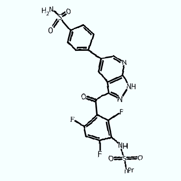 CCCS(=O)(=O)Nc1c(F)cc(F)c(C(=O)c2n[nH]c3ncc(-c4ccc(S(N)(=O)=O)cc4)cc23)c1F